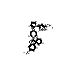 Cc1ccc(C2(C(=O)N3CCN(c4cccn4-c4cc(C)[nH]n4)CC3)CCCC2)cc1